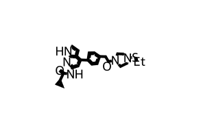 CCSN1CCN(C(=O)Cc2ccc(-c3cc(NC(=O)C4CC4)nc4[nH]ccc34)cc2)CC1